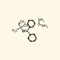 C=C[Si](C)(C)O[SiH](c1ccccc1)c1ccccc1.[SiH3]O[SiH3]